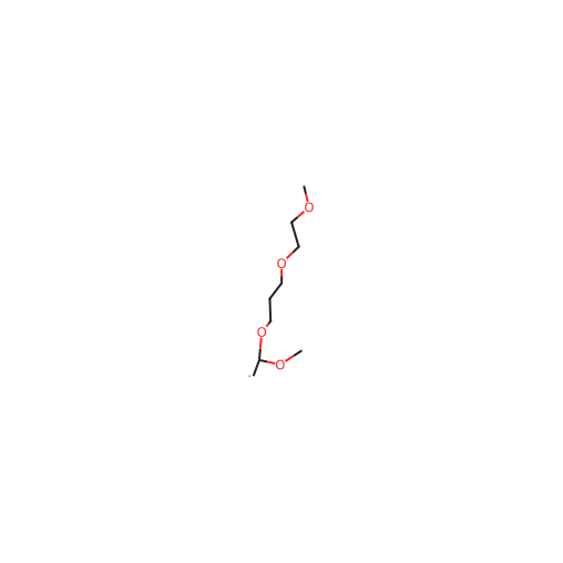 [CH2]C(OC)OCCCOCCOC